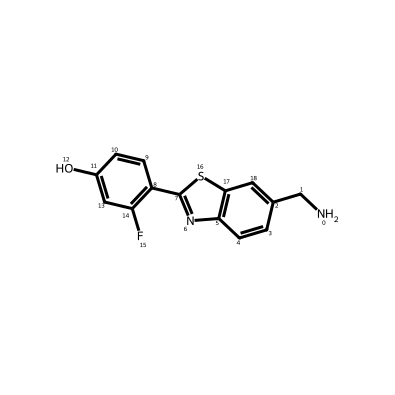 NCc1ccc2nc(-c3ccc(O)cc3F)sc2c1